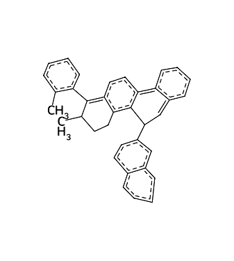 Cc1ccccc1C1=c2ccc3c(c2CCC1C)C(c1ccc2ccccc2c1)C=c1ccccc1=3